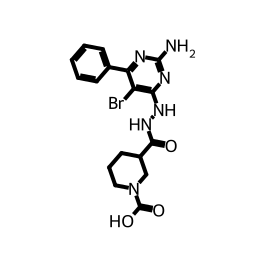 Nc1nc(NNC(=O)C2CCCN(C(=O)O)C2)c(Br)c(-c2ccccc2)n1